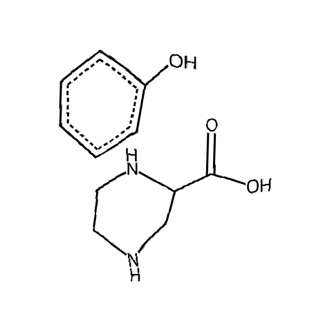 O=C(O)C1CNCCN1.Oc1ccccc1